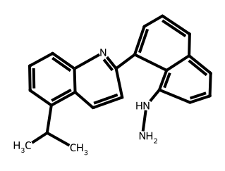 CC(C)c1cccc2nc(-c3cccc4cccc(NN)c34)ccc12